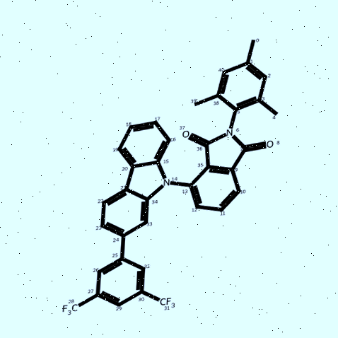 Cc1cc(C)c(N2C(=O)c3cccc(-n4c5ccccc5c5ccc(-c6cc(C(F)(F)F)cc(C(F)(F)F)c6)cc54)c3C2=O)c(C)c1